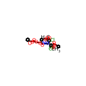 COC1=C(Cl)C=C(/C(=C/CCNC(=O)COCCOCC(=O)OCC(=O)c2ccccc2)c2cc(Cl)c(OC)c(C(=O)OCc3ccccc3)c2)C[C@@H]1C(=O)OCc1ccccc1